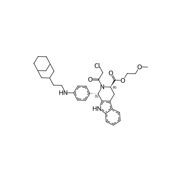 COCCOC(=O)[C@H]1Cc2c([nH]c3ccccc23)[C@H](c2ccc(NCCC3CC4CCCC(C4)C3)cc2)N1C(=O)CCl